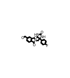 O=Cc1ccc2c(c1)CN(CC1(c3ccc(F)cc3)NC(=O)NC1=O)C2=O